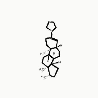 C[C@H]1CC[C@H]2[C@@H]3CC[C@H]4C=C(N5CCCC5)CC[C@]4(C)[C@H]3CC[C@]12C